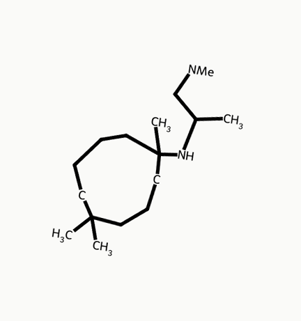 CNCC(C)NC1(C)CCCCC(C)(C)CCC1